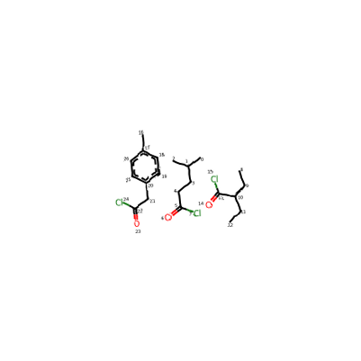 CC(C)CCC(=O)Cl.CCC(CC)C(=O)Cl.Cc1ccc(CC(=O)Cl)cc1